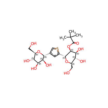 CC(C)(C)C(=O)O[C@H]1[C@@H](O)[C@H](O)[C@@H](CO)O[C@@H]1c1cc([C@H]2O[C@H](CO)[C@@H](O)[C@H](O)[C@@H]2O)cs1